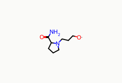 NC(=O)C1CCCN1CCC[O]